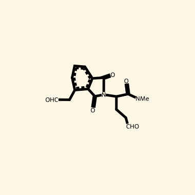 CNC(=O)C(CCC=O)N1C(=O)c2cccc(CC=O)c2C1=O